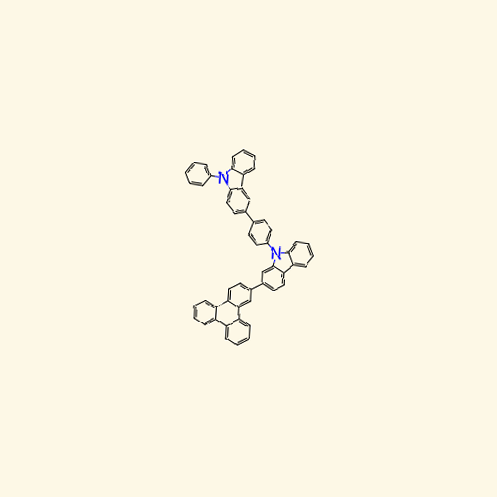 c1ccc(-n2c3ccccc3c3cc(-c4ccc(-n5c6ccccc6c6ccc(-c7ccc8c9ccccc9c9ccccc9c8c7)cc65)cc4)ccc32)cc1